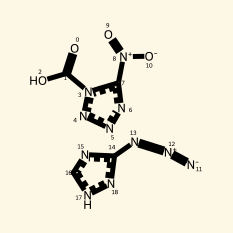 O=C(O)n1nnnc1[N+](=O)[O-].[N-]=[N+]=Nc1nc[nH]n1